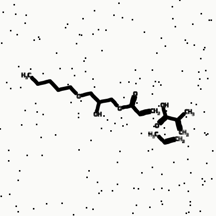 C=C(C)C(=O)O.C=CC.C=CC(=O)OCC(O)COCCCCC